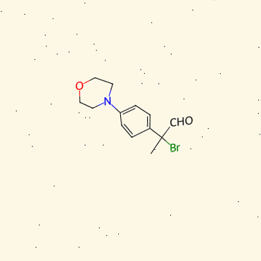 CC(Br)(C=O)c1ccc(N2CCOCC2)cc1